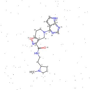 CN1CCCC1CCNC(=O)c1noc2c1CN(c1ncnc3[nH]ccc13)CC2